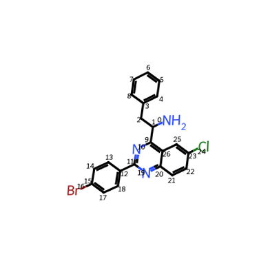 NC(Cc1ccccc1)c1nc(-c2ccc(Br)cc2)nc2ccc(Cl)cc12